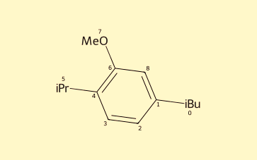 CCC(C)c1ccc(C(C)C)c(OC)c1